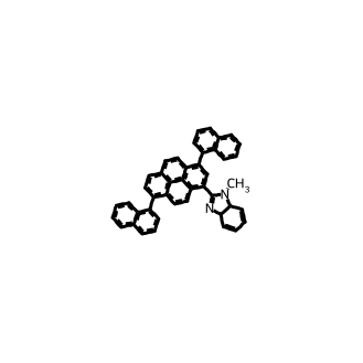 CN1C(c2cc(-c3cccc4ccccc34)c3ccc4ccc(-c5cccc6ccccc56)c5ccc2c3c45)=NC2C=CC=CC21